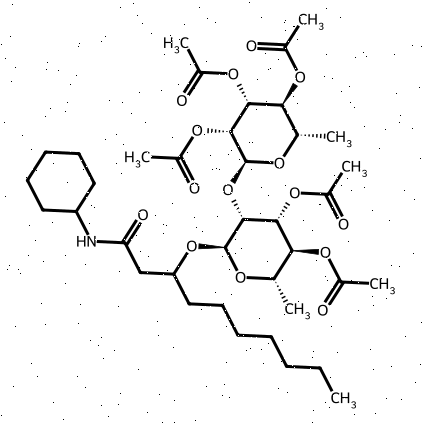 CCCCCCCC(CC(=O)NC1CCCCC1)O[C@@H]1O[C@@H](C)[C@H](OC(C)=O)[C@@H](OC(C)=O)[C@H]1O[C@@H]1O[C@@H](C)[C@H](OC(C)=O)[C@@H](OC(C)=O)[C@H]1OC(C)=O